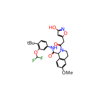 COc1ccc2c(c1)CCN(C(=O)Cc1cc(O)no1)C2C(=O)Nc1ccc(C(C)(C)C)c(OC(F)F)c1